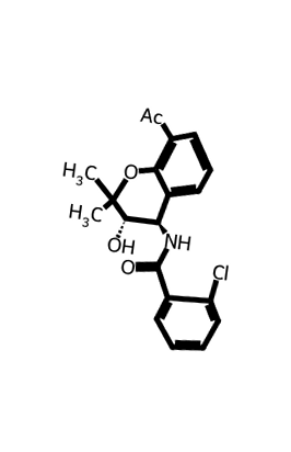 CC(=O)c1cccc2c1OC(C)(C)[C@@H](O)[C@@H]2NC(=O)c1ccccc1Cl